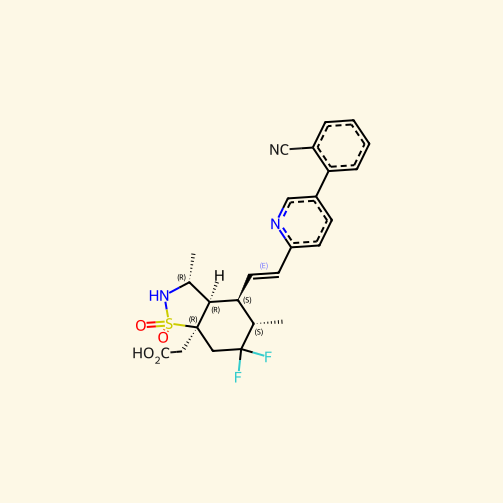 C[C@H]1NS(=O)(=O)[C@]2(CC(=O)O)CC(F)(F)[C@@H](C)[C@H](/C=C/c3ccc(-c4ccccc4C#N)cn3)[C@H]12